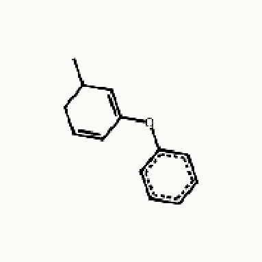 CC1C=C(Oc2ccccc2)C=CC1